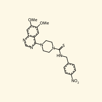 COc1cc2ncnc(N3CCN(C(=S)NCc4ccc([N+](=O)[O-])cc4)CC3)c2cc1OC